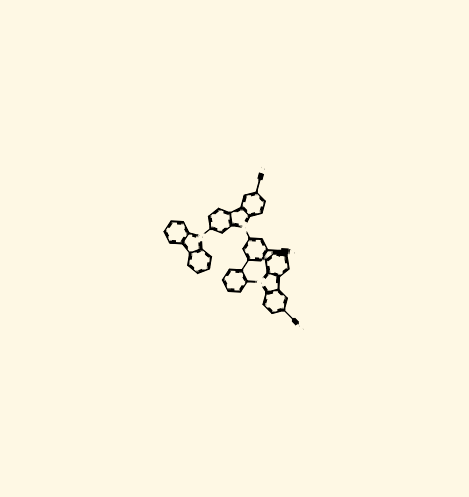 N#Cc1cc(-c2ccccc2-n2c3ccccc3c3cc(C#N)ccc32)cc(-n2c3ccc(C#N)cc3c3ccc(-n4c5ccccc5c5ccccc54)cc32)c1